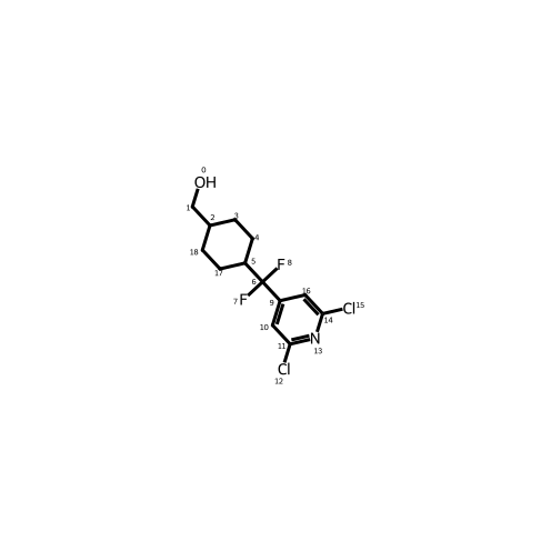 OCC1CCC(C(F)(F)c2cc(Cl)nc(Cl)c2)CC1